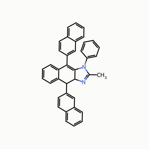 CC1=NC2C(=C(c3ccc4ccccc4c3)c3ccccc3C2c2ccc3ccccc3c2)N1c1ccccc1